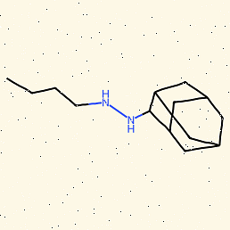 CCCCNNC1C2CC3CC(C2)CC1C3